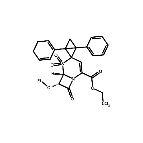 CCO[C@H]1C(=O)N2C(C(=O)OCC(Cl)(Cl)Cl)=CC3(C4(C5=CCCC=C5)CC43c3ccccc3)S(=O)(=O)[C@@H]12